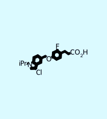 CC(C)n1cc(Cl)c2cc(COc3ccc(CCC(=O)O)c(F)c3)ccc21